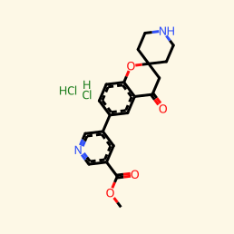 COC(=O)c1cncc(-c2ccc3c(c2)C(=O)CC2(CCNCC2)O3)c1.Cl.Cl